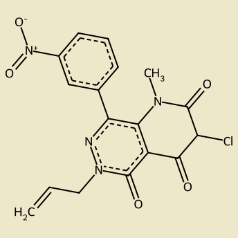 C=CCn1nc(-c2cccc([N+](=O)[O-])c2)c2c(c1=O)C(=O)C(Cl)C(=O)N2C